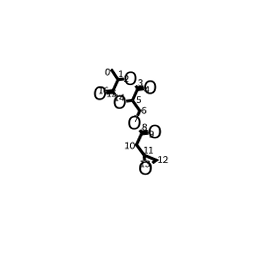 CC1OC(=O)C(COC(=O)CC2CO2)OC1=O